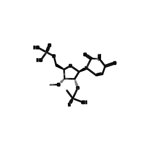 CO[C@H]1[C@@H](OP(C)(O)=S)[C@H](n2ccc(=O)[nH]c2=O)O[C@@H]1COP(=O)(O)O